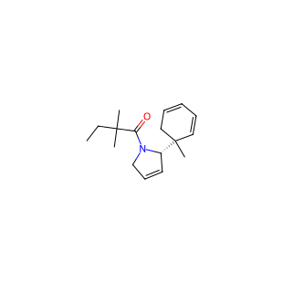 CCC(C)(C)C(=O)N1CC=C[C@H]1C1(C)C=CC=CC1